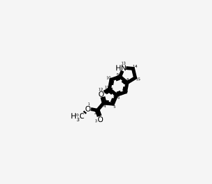 COC(=O)c1cc2cc3c(cc2o1)NCC3